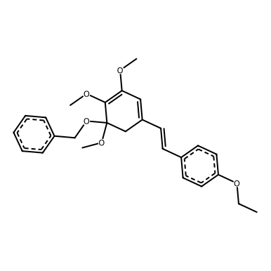 CCOc1ccc(C=CC2=CC(OC)=C(OC)C(OC)(OCc3ccccc3)C2)cc1